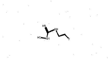 N=C(NS)NCCF